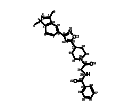 Cc1nn(C)c2ccc(-c3noc(C4CCN(C(=O)CNC(=O)c5ccccc5)CC4)n3)cc12